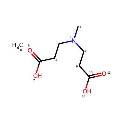 C.CN(CCC(=O)O)CCC(=O)O